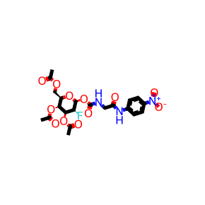 CC(=O)OC[C@H]1O[C@@H](OC(=O)NCC(=O)Nc2ccc([N+](=O)[O-])cc2)[C@H](F)[C@@H](OC(C)=O)[C@@H]1OC(C)=O